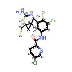 C[C@@]1(c2cc(NC(=O)c3ccc(Cl)cn3)cc(F)c2F)N=C(N)S[C@@]2(CF)C[C@H]21